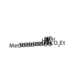 CCOC(=O)CCC(=O)N(CCCNC(=O)CCOCCOCCOCCOCCOCCOCCOCCOCCOCCOCCOCCOC)CCCNC(=O)OC(C)(C)C